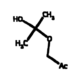 CC(=O)COC(C)(C)O